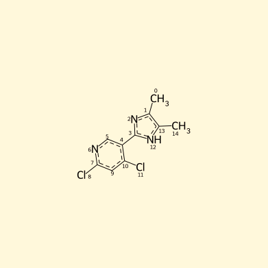 Cc1nc(-c2cnc(Cl)cc2Cl)[nH]c1C